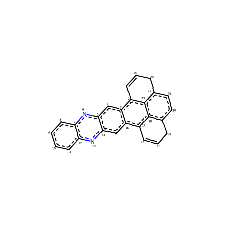 C1=Cc2c3cc4nc5ccccc5nc4cc3c3c4c(ccc(c24)C1)CC=C3